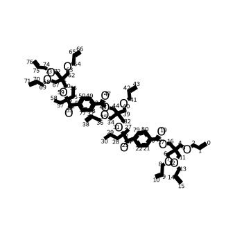 C=CCOCC(COCC=C)(COCC=C)COC(=O)c1ccc(C(=O)C(C)(CCC)OCC(COCC=C)(COCC=C)COC(=O)c2ccc(C(=O)C(CC)(CC)OCC(COCC=C)(COCC=C)COCC=C)cc2)cc1